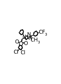 Cn1c(-c2ccc(C(F)(F)F)cc2)nc2c1cc(C=C1C(=O)c3cc(Cl)c(Cl)cc3C1=O)n2-c1ccccc1